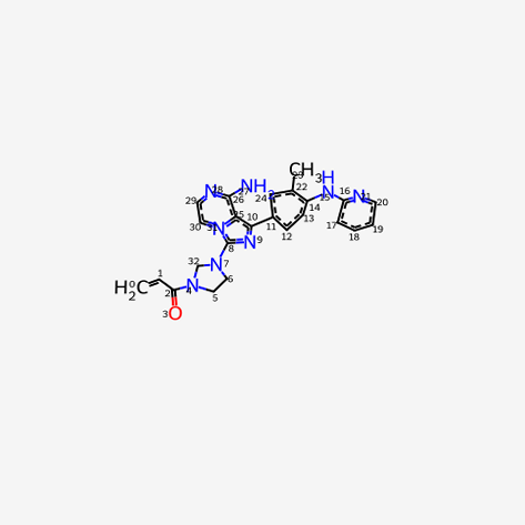 C=CC(=O)N1CCN(c2nc(-c3ccc(Nc4ccccn4)c(C)c3)c3c(N)nccn23)C1